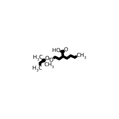 CCCCC(CCOOC(C)(C)CC)C(=O)O